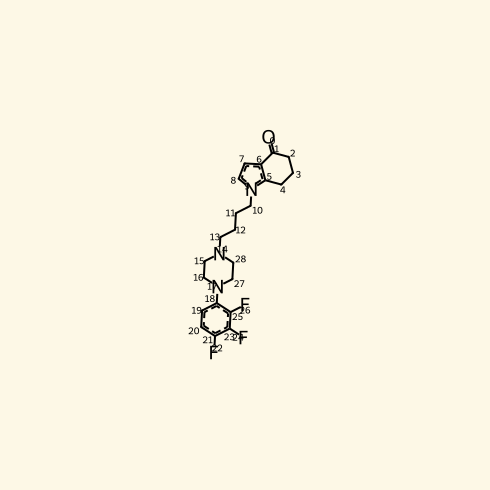 O=C1CCCc2c1ccn2CCCCN1CCN(c2ccc(F)c(F)c2F)CC1